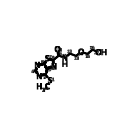 CSc1ncnc2sc(C(=O)NCCOCCO)nc12